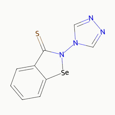 S=c1c2ccccc2[se]n1-n1cnnc1